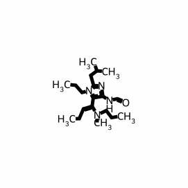 CC/C=C(/c1c(NC=O)nc(CC(C)C)n1CCC)N(C)CCC